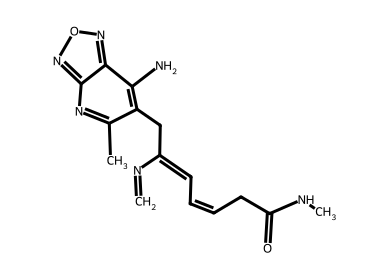 C=N/C(=C\C=C/CC(=O)NC)Cc1c(C)nc2nonc2c1N